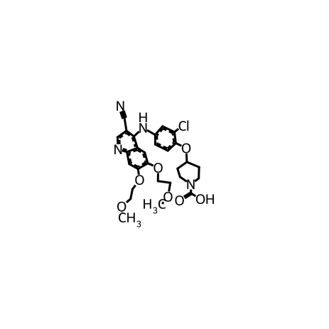 COCCOc1cc2ncc(C#N)c(Nc3ccc(OC4CCN(C(=O)O)CC4)c(Cl)c3)c2cc1OCCOC